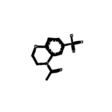 CC(=O)N1CCOc2ccc(S(=O)(=O)Cl)cc21